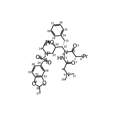 CC(C)CC(=O)N(NC(=O)CN(C)C)[C@@H](Cc1ccccc1)[C@H](O)CN(CC(C)C)S(=O)(=O)c1ccc2c(c1)OC(C)O2